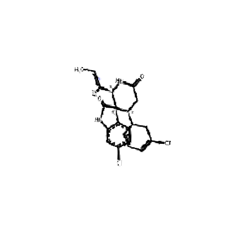 C/C=C(\CC)[C@H]1NC(=O)C[C@@H](C2C=CC=C(Cl)C2)[C@]12C(=O)Nc1cc(Cl)ccc12